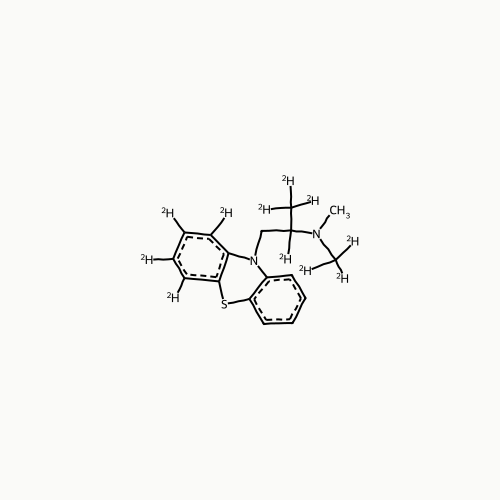 [2H]c1c([2H])c([2H])c2c(c1[2H])Sc1ccccc1N2CC([2H])(N(C)C([2H])([2H])[2H])C([2H])([2H])[2H]